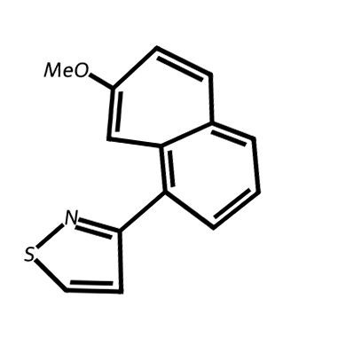 COc1ccc2cccc(-c3ccsn3)c2c1